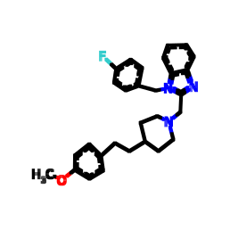 COc1ccc(CCC2CCN(Cc3nc4ccccc4n3Cc3ccc(F)cc3)CC2)cc1